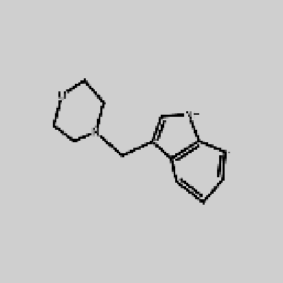 [c]1cccc2c(CN3CCOCC3)c[nH]c12